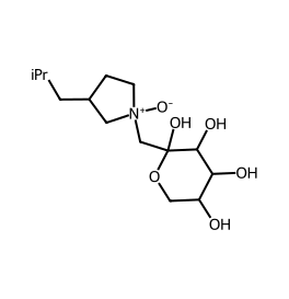 CC(C)CC1CC[N+]([O-])(CC2(O)OCC(O)C(O)C2O)C1